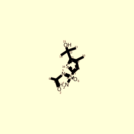 CC(=O)N=S(N)(=O)c1cc(C)c(C(C)(C)O)s1